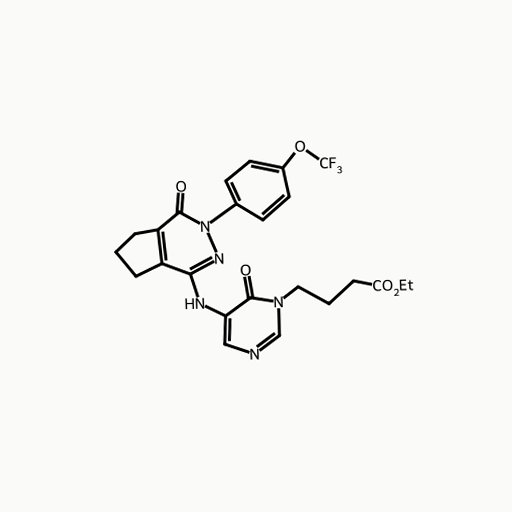 CCOC(=O)CCCn1cncc(Nc2nn(-c3ccc(OC(F)(F)F)cc3)c(=O)c3c2CCC3)c1=O